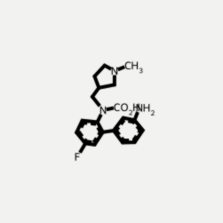 CN1CCC(CN(C(=O)O)c2ccc(F)cc2-c2cccc(N)c2)C1